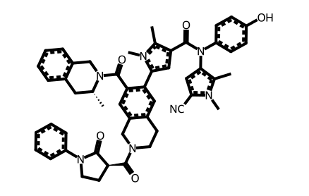 Cc1c(N(C(=O)c2cc(-c3cc4c(cc3C(=O)N3Cc5ccccc5C[C@H]3C)CN(C(=O)[C@H]3CCN(c5ccccc5)C3=O)CC4)n(C)c2C)c2ccc(O)cc2)cc(C#N)n1C